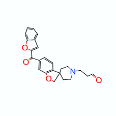 O=CCCN1CCC2(CC1)COc1cc(C(=O)c3cc4ccccc4o3)ccc12